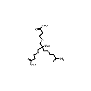 CNC(=O)CCOCC(COCCC(N)=O)(COCCC(=O)NC)NC